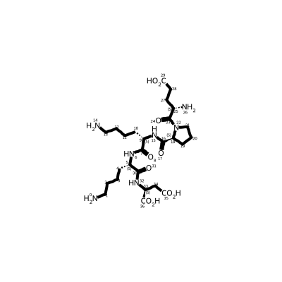 NCCCC[C@H](NC(=O)[C@H](CCCCN)NC(=O)[C@@H]1CCCN1C(=O)[C@@H](N)CCC(=O)O)C(=O)N[C@@H](CC(=O)O)C(=O)O